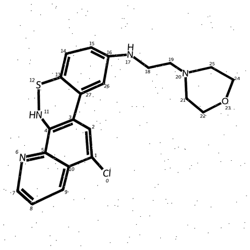 Clc1cc2c(c3ncccc13)NSc1ccc(NCCN3CCOCC3)cc1-2